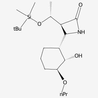 CCCO[C@H]1CCC[C@H](C2NC(=O)[C@@H]2[C@@H](C)O[Si](C)(C)C(C)(C)C)[C@@H]1O